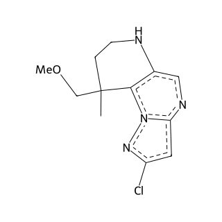 COCC1(C)CCNc2cnc3cc(Cl)nn3c21